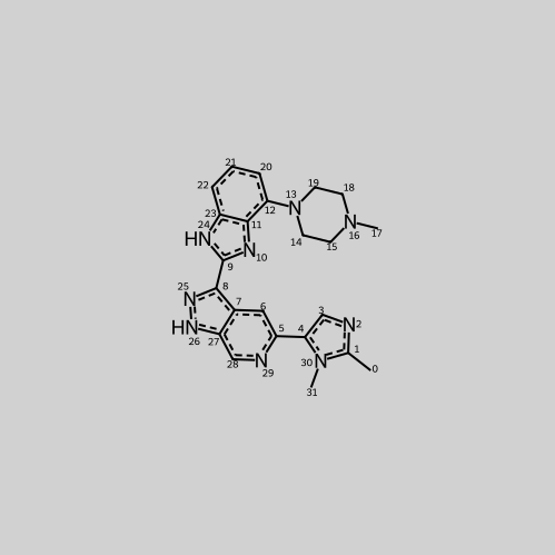 Cc1ncc(-c2cc3c(-c4nc5c(N6CCN(C)CC6)cccc5[nH]4)n[nH]c3cn2)n1C